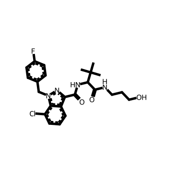 CC(C)(C)C(NC(=O)c1nn(Cc2ccc(F)cc2)c2c(Cl)cccc12)C(=O)NCCCO